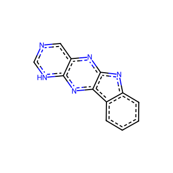 c1ccc2c(c1)nc1nc3cnc[nH]c3nc12